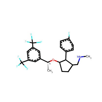 CNCC1CCC(O[C@H](C)c2cc(C(F)(F)F)cc(C(F)(F)F)c2)C1c1ccc(F)cc1